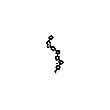 N#Cc1ccc(-c2cccc3c2oc2ccc(-c4cccc(-c5ccc(C6N=C7C=CC(c8ccccc8)=CN76)cc5)c4)cc23)cc1